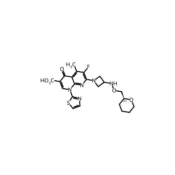 Cc1c(F)c(N2CC(NOC[C@@H]3CCCCO3)C2)nc2c1c(=O)c(C(=O)O)cn2-c1nccs1